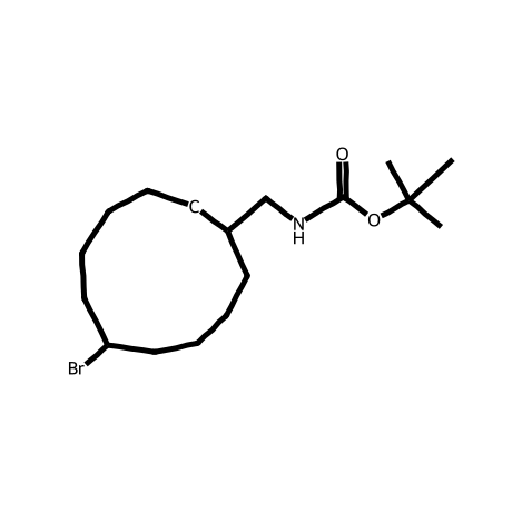 CC(C)(C)OC(=O)NCC1CCCCCC(Br)CCCC1